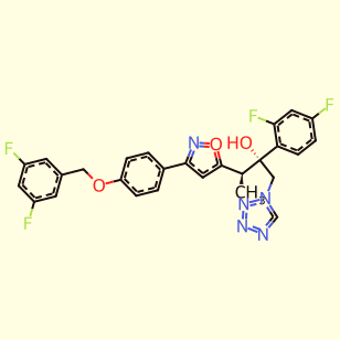 C[C@@H](c1cc(-c2ccc(OCc3cc(F)cc(F)c3)cc2)no1)[C@](O)(Cn1cnnn1)c1ccc(F)cc1F